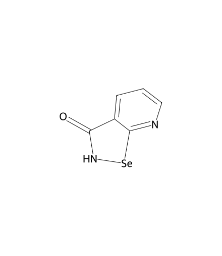 O=c1[nH][se]c2ncccc12